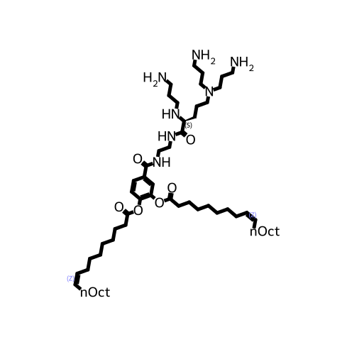 CCCCCCCC/C=C\CCCCCCCC(=O)Oc1ccc(C(=O)NCCNC(=O)[C@H](CCCN(CCCN)CCCN)NCCCN)cc1OC(=O)CCCCCCC/C=C\CCCCCCCC